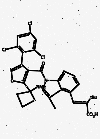 CNC1(c2onc(-c3c(Cl)cc(Cl)cc3Cl)c2C(=O)n2cc(C)c3c(/C=C(/C(=O)O)C(C)(C)C)cccc32)CCC1